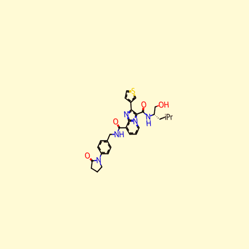 CC(C)C[C@@H](CO)NC(=O)c1c(-c2ccsc2)nc2c(C(=O)NCc3ccc(N4CCCC4=O)cc3)cccn12